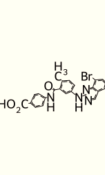 Cc1ccc(Nc2ncc3cccc(Br)c3n2)cc1C(=O)Nc1ccc(C(=O)O)cc1